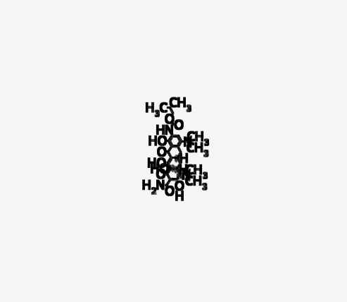 CC(C)COC(=O)Nc1cc(N(C)C)c2c(c1O)C(=O)C1=C(O)[C@]3(O)C(=O)C(C(N)=O)=C(O)[C@@H](N(C)C)[C@@H]3C[C@@H]1C2